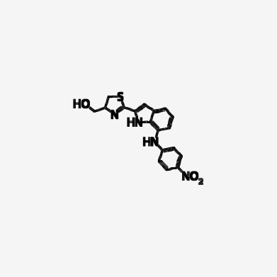 O=[N+]([O-])c1ccc(Nc2cccc3cc(C4=NC(CO)CS4)[nH]c23)cc1